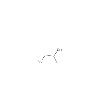 C[CH]CC(O)F